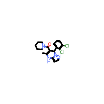 CC1=C(C(=O)N2CCCCC2)C(c2cccc(Cl)c2Cl)n2nccc2N1